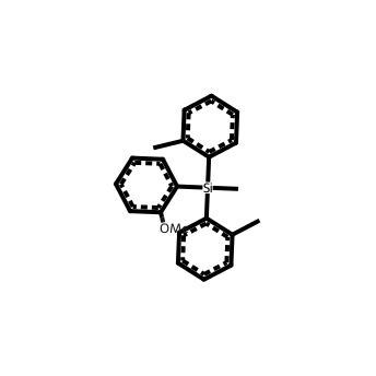 COc1ccccc1[Si](C)(c1ccccc1C)c1ccccc1C